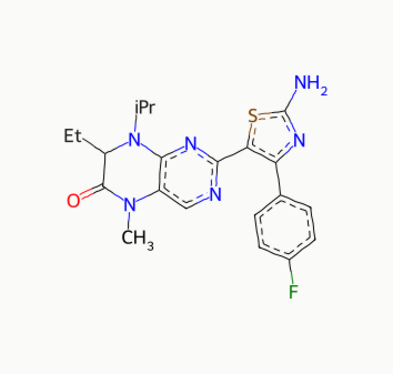 CCC1C(=O)N(C)c2cnc(-c3sc(N)nc3-c3ccc(F)cc3)nc2N1C(C)C